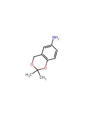 CC1(C)OCc2cc(N)ccc2O1